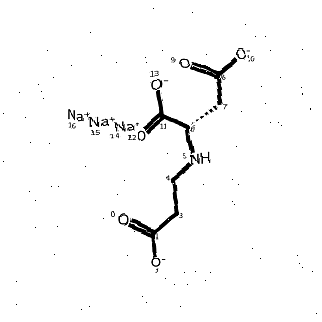 O=C([O-])CCN[C@@H](CC(=O)[O-])C(=O)[O-].[Na+].[Na+].[Na+]